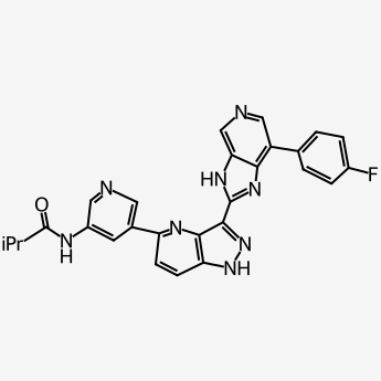 CC(C)C(=O)Nc1cncc(-c2ccc3[nH]nc(-c4nc5c(-c6ccc(F)cc6)cncc5[nH]4)c3n2)c1